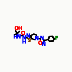 CC(C)(CO)NC(=O)Nc1nc2c(s1)CN(c1nc(-c3ccc(F)cc3)no1)CC2